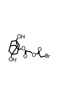 O=C(CBr)OCC(=O)OC12CC3CC(O)(CC(O)(C3)C1)C2